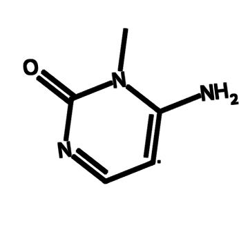 Cn1c(N)[c]cnc1=O